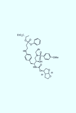 CCOC(=O)[C@H](C)OP(=O)(CCNc1ccc(C[C@H](NC(=O)O[C@H]2CO[C@H]3OCC[C@H]32)[C@H](O)CN(CC(C)C)S(=O)(=O)c2ccc(OC)cc2)cc1)Oc1ccccc1